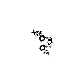 Cc1cnc(Nc2ccccc2P(C)(C)=O)nc1Nc1cccc(S(=O)(=O)NC(C)(C)C)c1